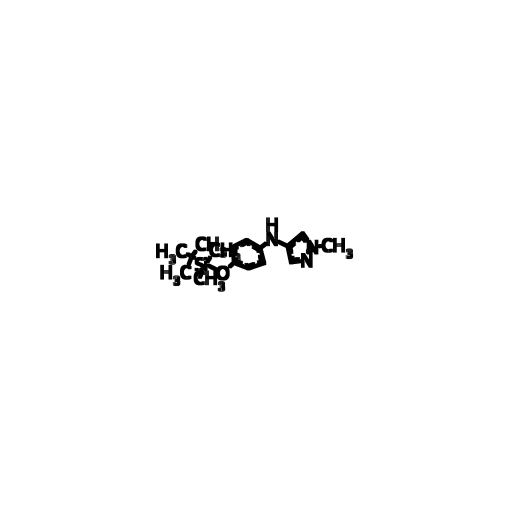 Cn1cc(Nc2ccc(O[Si](C)(C)C(C)(C)C)cc2)cn1